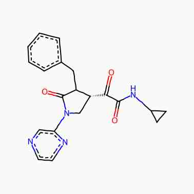 O=C(NC1CC1)C(=O)[C@@H]1CN(c2cnccn2)C(=O)C1Cc1ccccc1